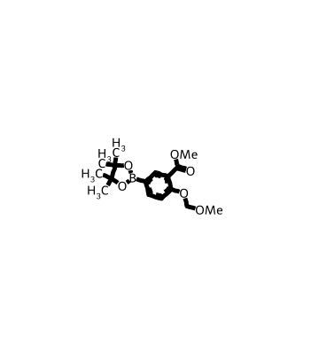 COCOc1ccc(B2OC(C)(C)C(C)(C)O2)cc1C(=O)OC